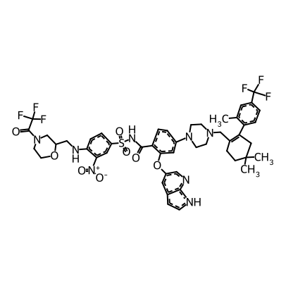 Cc1cc(C(F)(F)F)ccc1C1=C(CN2CCN(c3ccc(C(=O)NS(=O)(=O)c4ccc(NCC5CN(C(=O)C(F)(F)F)CCO5)c([N+](=O)[O-])c4)c(Oc4cnc5[nH]ccc5c4)c3)CC2)CCC(C)(C)C1